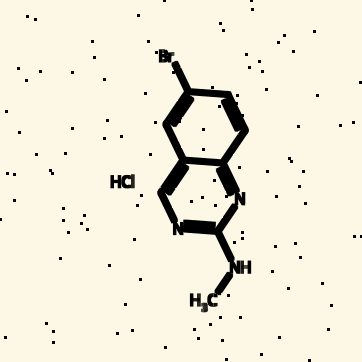 CNc1ncc2cc(Br)ccc2n1.Cl